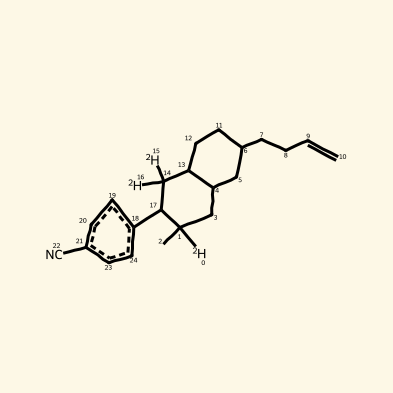 [2H]C1(C)CC2CC(CCC=C)CCC2C([2H])([2H])C1c1ccc(C#N)cc1